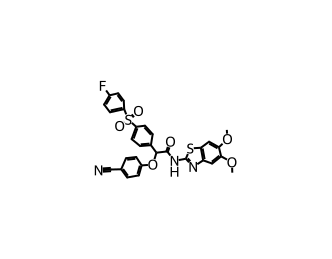 COc1cc2nc(NC(=O)C(Oc3ccc(C#N)cc3)c3ccc(S(=O)(=O)c4ccc(F)cc4)cc3)sc2cc1OC